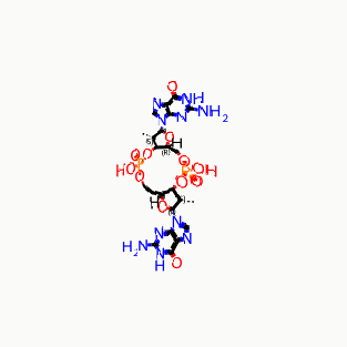 C[C@H]1C2OP(=O)(O)OC[C@H]3O[C@@H](n4cnc5c(=O)[nH]c(N)nc54)[C@@H](C)C3OP(=O)(O)OCC[C@H]2O[C@H]1n1cnc2c(=O)[nH]c(N)nc21